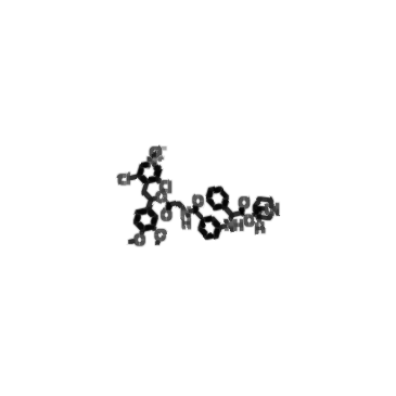 COc1ccc(C(Cc2c(Cl)c[n+]([O-])cc2Cl)OC(=O)CNC(=O)c2cccc(NC(C(=O)O[C@H]3CN4CCC3CC4)c3ccccc3)c2)cc1OC